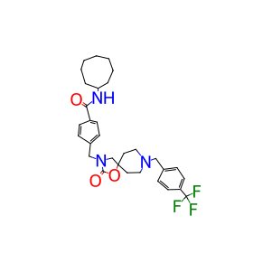 O=C(NC1CCCCCCC1)c1ccc(CN2CC3(CCN(Cc4ccc(C(F)(F)F)cc4)CC3)OC2=O)cc1